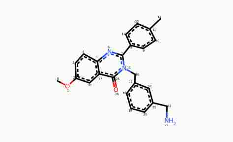 COc1ccc2nc(-c3ccc(C)cc3)n(Cc3cccc(CN)c3)c(=O)c2c1